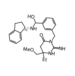 CCC1(COC)CC(=O)N(Cc2cccc(C(O)N[C@H]3CCc4ccccc43)c2)C(=N)N1